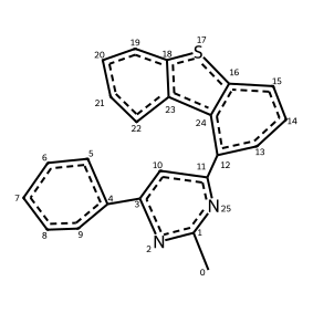 Cc1nc(-c2ccccc2)cc(-c2cccc3sc4ccccc4c23)n1